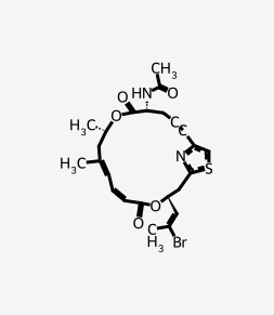 CC(=O)N[C@@H]1CCCc2csc(n2)C[C@@H](/C=C(\C)Br)OC(=O)/C=C\C=C(/C)C[C@H](C)OC1=O